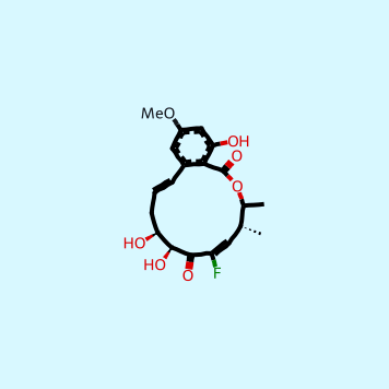 COc1cc(O)c2c(c1)/C=C/C[C@H](O)[C@H](O)C(=O)/C(F)=C\[C@@H](C)C(C)OC2=O